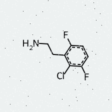 NCCc1c(F)ccc(F)c1Cl